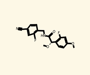 COc1ccc([C@H](OC)C(=O)NCc2ccc(C#N)cc2F)c(F)c1